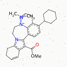 COC(=O)c1c2c(n3c1-c1ccc(C4CCCCC4)c4c1[N+](N(C)C)(C=CC4)CC3)CCC=C2